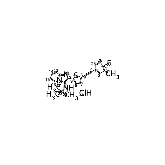 Cc1cc(C#Cc2ccc(-c3nc4ccccn4c3NC(C)(C)C)s2)ccc1F.Cl